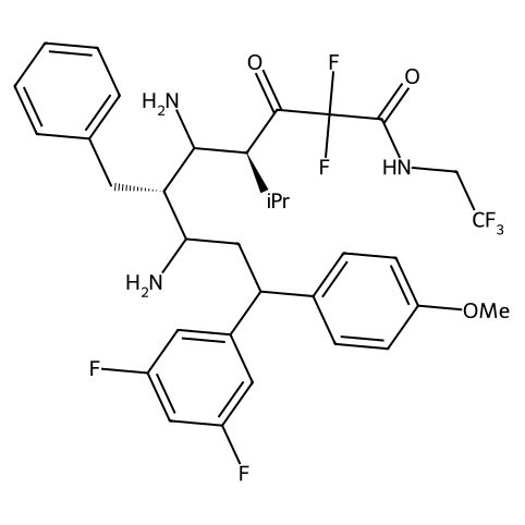 COc1ccc(C(CC(N)[C@H](Cc2ccccc2)C(N)[C@@H](C(=O)C(F)(F)C(=O)NCC(F)(F)F)C(C)C)c2cc(F)cc(F)c2)cc1